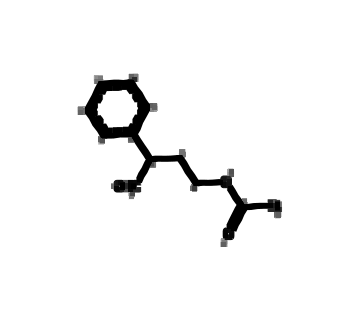 CCC(=O)OCCC([C]=O)c1ccccc1